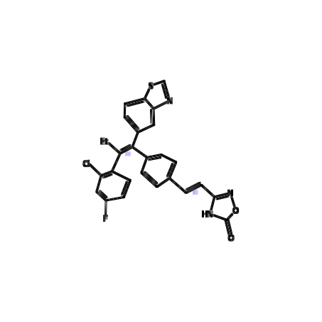 CC/C(=C(/c1ccc(/C=C/c2noc(=O)[nH]2)cc1)c1ccc2scnc2c1)c1ccc(F)cc1Cl